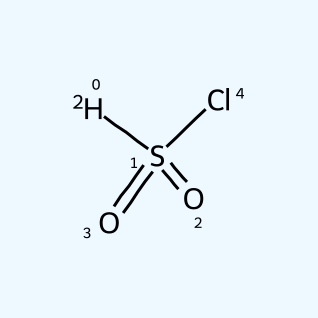 [2H]S(=O)(=O)Cl